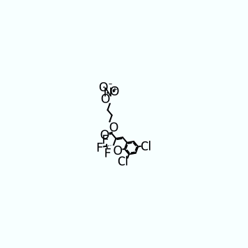 O=C(OCCCCO[N+](=O)[O-])C1=Cc2cc(Cl)cc(Cl)c2O[C@@H]1C(F)(F)F